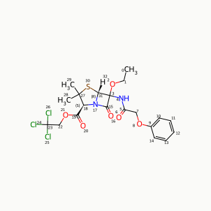 CCOC1(NC(=O)COc2ccccc2)C(=O)N2[C@@H](C(=O)OCC(Cl)(Cl)Cl)C(C)(C)S[C@@H]21